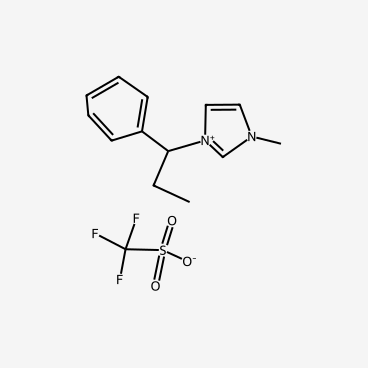 CCC(c1ccccc1)[n+]1ccn(C)c1.O=S(=O)([O-])C(F)(F)F